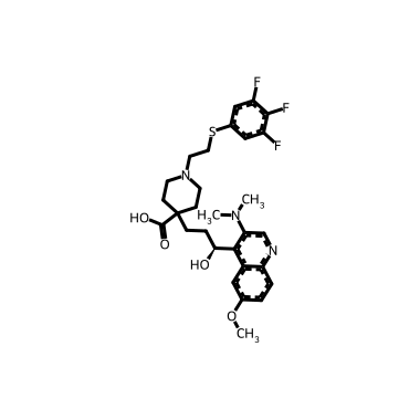 COc1ccc2ncc(N(C)C)c([C@@H](O)CCC3(C(=O)O)CCN(CCSc4cc(F)c(F)c(F)c4)CC3)c2c1